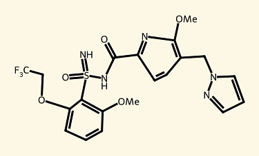 COc1cccc(OCC(F)(F)F)c1S(=N)(=O)NC(=O)c1ccc(Cn2cccn2)c(OC)n1